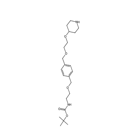 CC(C)(C)OC(=O)NCCOCc1ccc(COCCOC2CCNCC2)cc1